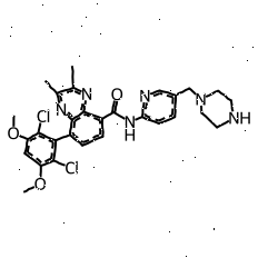 COc1cc(OC)c(Cl)c(-c2ccc(C(=O)Nc3ccc(CN4CCNCC4)cn3)c3nc(C)c(C)nc23)c1Cl